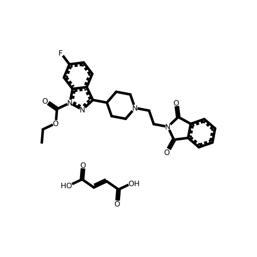 CCOC(=O)n1nc(C2CCN(CCN3C(=O)c4ccccc4C3=O)CC2)c2ccc(F)cc21.O=C(O)C=CC(=O)O